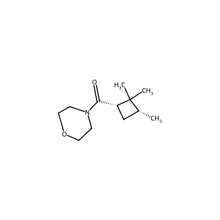 C[C@@H]1C[C@H](C(=O)N2CCOCC2)C1(C)C